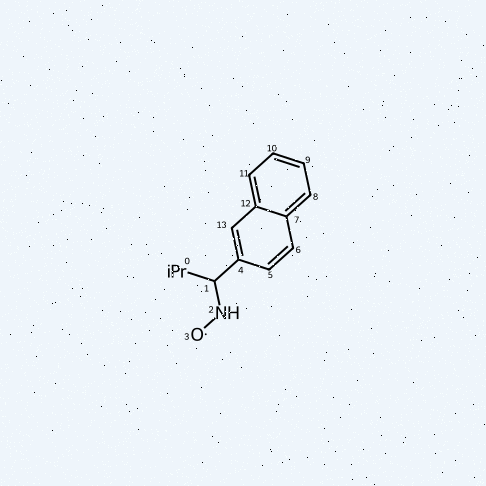 CC(C)C(N[O])c1ccc2ccccc2c1